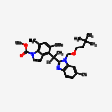 CCC(C)(c1c(OC)cc(C)c2c1ccn2C(=O)OC(C)(C)C)c1nc2ccc(C#N)cc2n1COCC[Si](C)(C)C